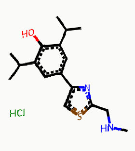 CNCc1nc(-c2cc(C(C)C)c(O)c(C(C)C)c2)cs1.Cl